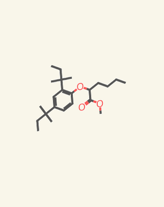 CCCCC(Oc1ccc(C(C)(C)CC)cc1C(C)(C)CC)C(=O)OC